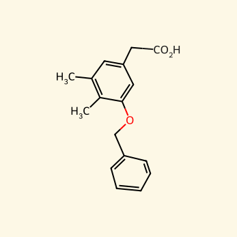 Cc1cc(CC(=O)O)cc(OCc2ccccc2)c1C